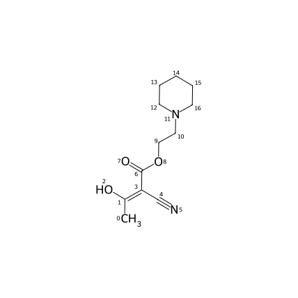 C/C(O)=C(\C#N)C(=O)OCCN1CCCCC1